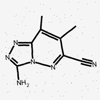 Cc1c(C#N)nn2c(N)nnc2c1C